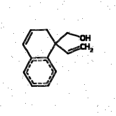 C=CC1(CO)CC=Cc2ccccc21